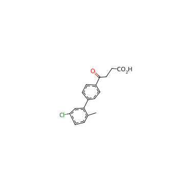 Cc1ccc(Cl)cc1-c1ccc(C(=O)CCC(=O)O)cc1